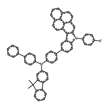 CC1(C)c2ccccc2-c2ccc(N(c3ccc(-c4ccccc4)cc3)c3ccc(-c4ccc5c(c4)c4c6ccc7cccc8ccc(cc4n5-c4ccc(F)cc4)c6c87)cc3)cc21